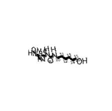 CONc1cnc(NC(=O)NCCCCCCO)s1